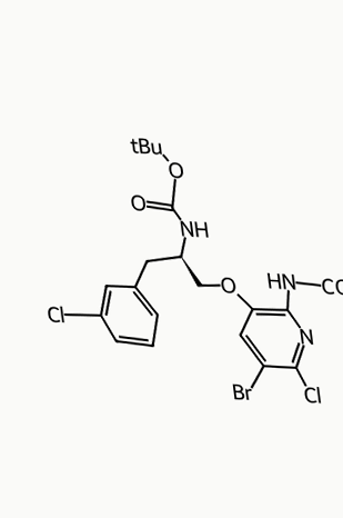 CC(C)(C)OC(=O)N[C@@H](COc1cc(Br)c(Cl)nc1NC(=O)O)Cc1cccc(Cl)c1